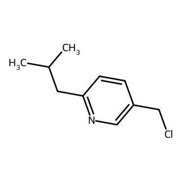 CC(C)Cc1ccc(CCl)cn1